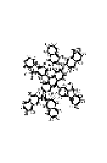 CC1(C)c2ccccc2-c2ccc(-c3c4ccc(N(c5ccc6ccccc6c5)c5ccc6ccccc6c5)cc4c(-c4ccc5c(c4)C(C)(C)c4ccccc4-5)c4ccc(N(C5=CCC6C=CC=CC6=C5)c5ccc6ccccc6c5)cc34)cc21